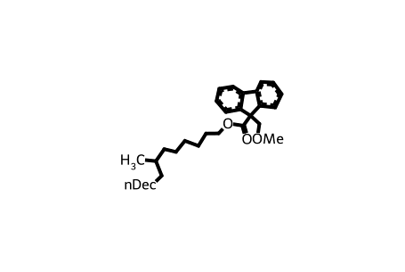 CCCCCCCCCCCC(C)CCCCCCOC(=O)C1(COC)c2ccccc2-c2ccccc21